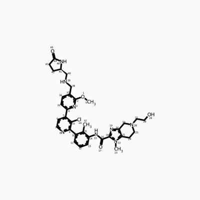 COc1nc(-c2ccnc(-c3cccc(NC(=O)c4nc5c(n4C)CCN(CCO)C5)c3C)c2Cl)ccc1CNC[C@H]1CCC(=O)N1